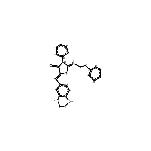 O=C1/C(=C/c2ccc3c(c2)OCCO3)S/C(=N\CCc2ccccc2)N1c1ccccc1